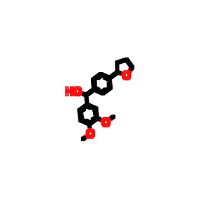 COc1ccc(C(O)c2ccc(C3CCCO3)cc2)cc1OC